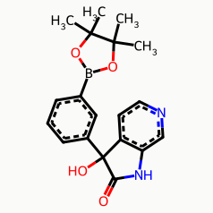 CC1(C)OB(c2cccc(C3(O)C(=O)Nc4cnccc43)c2)OC1(C)C